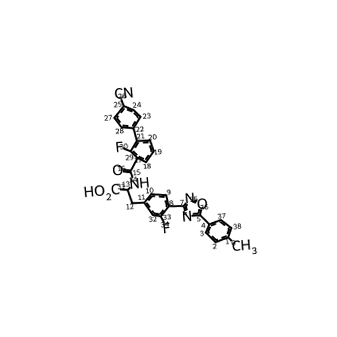 Cc1ccc(-c2nc(-c3ccc(CC(NC(=O)c4cccc(-c5ccc(C#N)cc5)c4F)C(=O)O)cc3F)no2)cc1